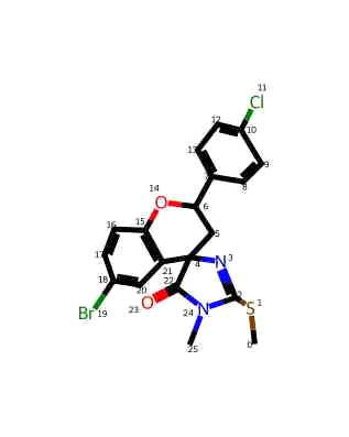 CSC1=NC2(CC(c3ccc(Cl)cc3)Oc3ccc(Br)cc32)C(=O)N1C